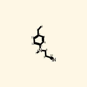 CCc1ccc(N(C)CCC#N)cc1